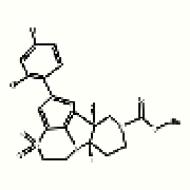 CC(C)(C)OC(=O)N1CC[C@H]2[C@@H](C1)c1cc(-c3ccc(Cl)cc3Cl)cc3c1N2CCS3(=O)=O